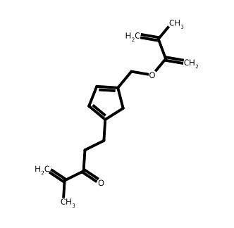 C=C(C)C(=C)OCC1=CC=C(CCC(=O)C(=C)C)C1